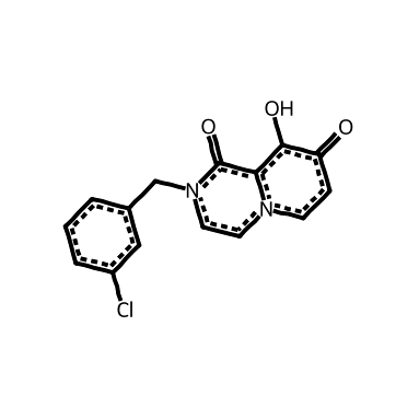 O=c1ccn2ccn(Cc3cccc(Cl)c3)c(=O)c2c1O